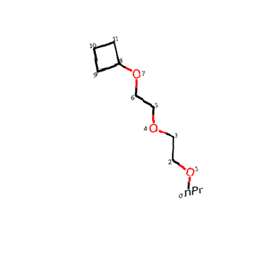 CCCOCCOCCOC1CCC1